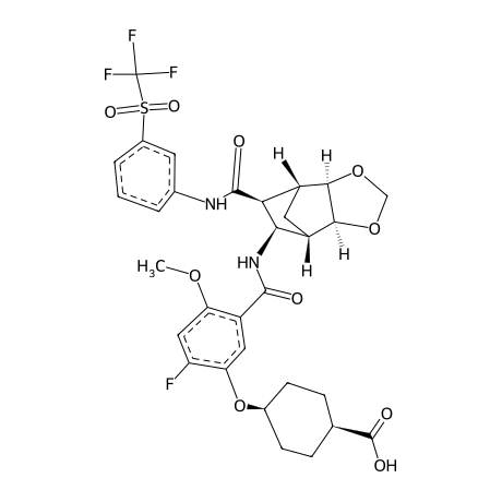 COc1cc(F)c(O[C@H]2CC[C@@H](C(=O)O)CC2)cc1C(=O)N[C@@H]1[C@@H]2C[C@@H]([C@H]3OCO[C@@H]23)[C@@H]1C(=O)Nc1cccc(S(=O)(=O)C(F)(F)F)c1